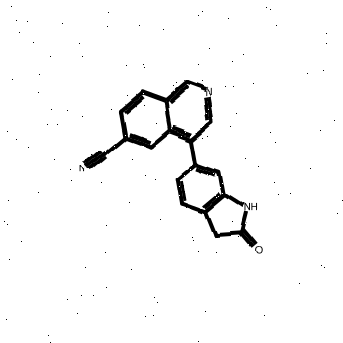 N#Cc1ccc2cncc(-c3ccc4c(c3)NC(=O)C4)c2c1